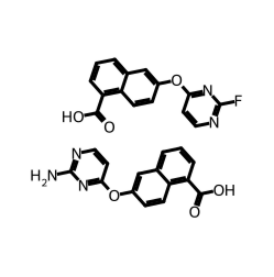 Nc1nccc(Oc2ccc3c(C(=O)O)cccc3c2)n1.O=C(O)c1cccc2cc(Oc3ccnc(F)n3)ccc12